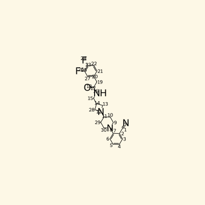 N#Cc1ccccc1N1CCC(N2CC(CNC(=O)Cc3ccc(F)c(F)c3)C2)CC1